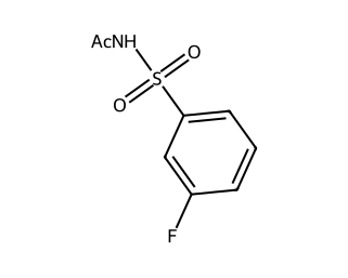 CC(=O)NS(=O)(=O)c1cccc(F)c1